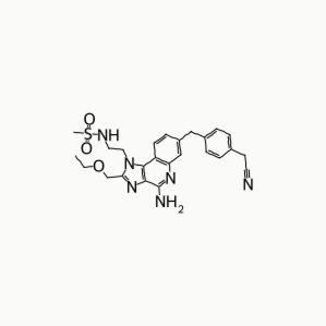 CCOCc1nc2c(N)nc3cc(Cc4ccc(CC#N)cc4)ccc3c2n1CCNS(C)(=O)=O